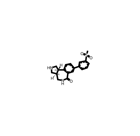 CS(=O)(=O)c1cccc(-c2ccc3c(c2)C(=O)NC[C@H]2CNC[C@H]32)c1